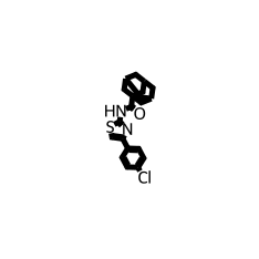 O=C(Nc1nc(-c2ccc(Cl)cc2)cs1)C12CC3CC(CC(C3)C1)C2